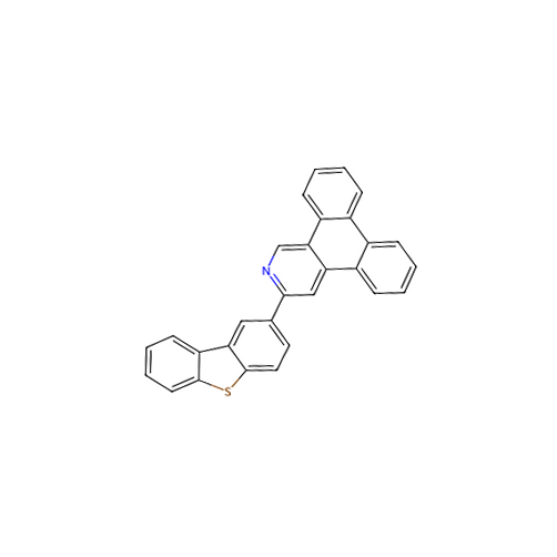 c1ccc2c(c1)sc1ccc(-c3cc4c5ccccc5c5ccccc5c4cn3)cc12